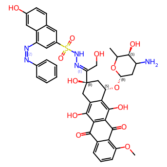 COc1cccc2c1C(=O)c1c(O)c3c(c(O)c1C2=O)C[C@](O)(/C(CO)=N/NS(=O)(=O)c1cc(/N=N\c2ccccc2)c2cc(O)ccc2c1)C[C@@H]3O[C@H]1CC(N)[C@H](O)C(C)O1